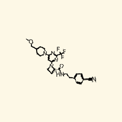 COCC1CCN(c2cc(N3CC[C@H]3C(=O)NCCc3ccc(C#N)cc3)nc(C(F)(F)F)n2)CC1